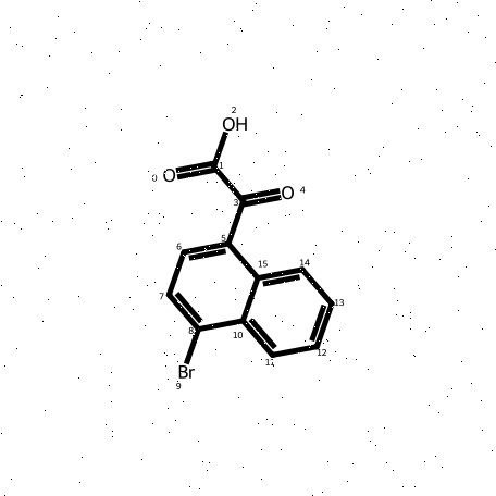 O=C(O)C(=O)c1ccc(Br)c2ccccc12